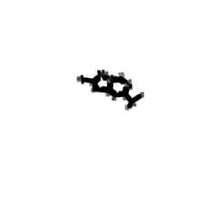 CC(C)c1cc2cc(I)nn2cn1